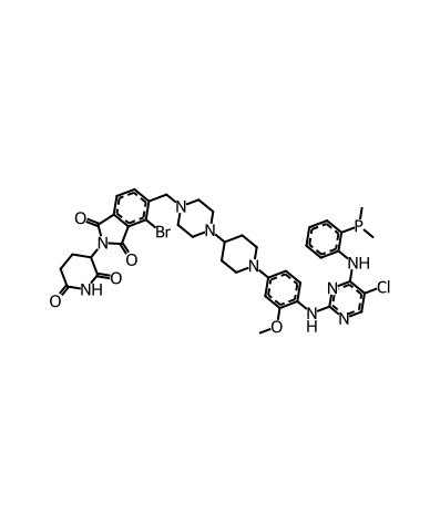 COc1cc(N2CCC(N3CCN(Cc4ccc5c(c4Br)C(=O)N(C4CCC(=O)NC4=O)C5=O)CC3)CC2)ccc1Nc1ncc(Cl)c(Nc2ccccc2P(C)C)n1